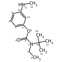 CCN(C(=O)Oc1cccc(NC)c1)C(C)(C)C